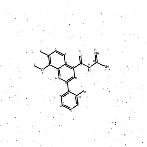 COc1c(C)ccc2c(C(=O)NC(=N)N)cc(-c3ccccc3C)nc12